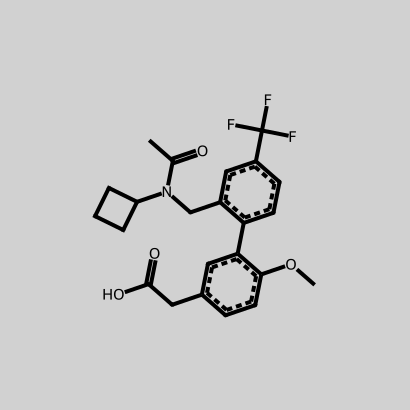 COc1ccc(CC(=O)O)cc1-c1ccc(C(F)(F)F)cc1CN(C(C)=O)C1CCC1